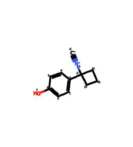 [C-]#[N+]C1(c2ccc(O)cc2)CCC1